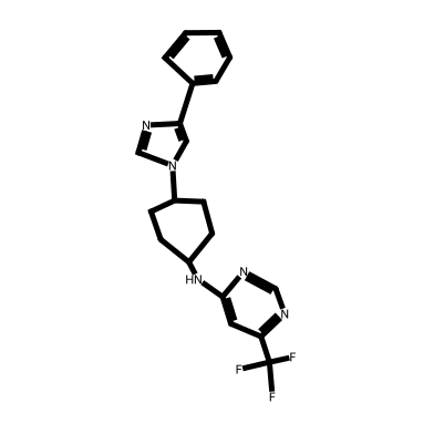 FC(F)(F)c1cc(NC2CCC(n3cnc(-c4ccccc4)c3)CC2)ncn1